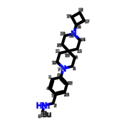 CCC(C)NCc1ccc(N2CCC3(CC2)CCN(C2CCC2)CC3)cc1